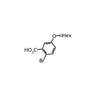 CCCCCCOc1ccc(Br)c(C(=O)O)c1